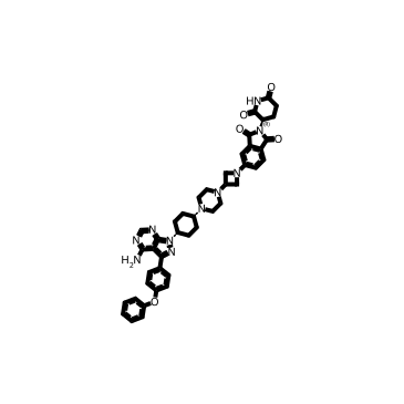 Nc1ncnc2c1c(-c1ccc(Oc3ccccc3)cc1)nn2[C@H]1CC[C@@H](N2CCN(C3CN(c4ccc5c(c4)C(=O)N([C@@H]4CCC(=O)NC4=O)C5=O)C3)CC2)CC1